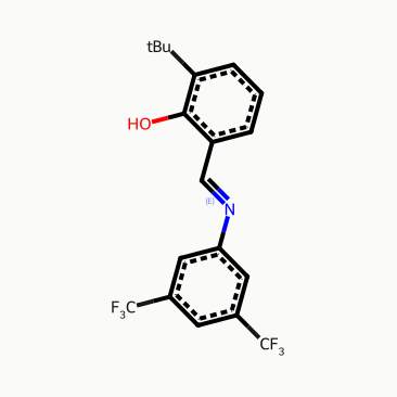 CC(C)(C)c1cccc(/C=N/c2cc(C(F)(F)F)cc(C(F)(F)F)c2)c1O